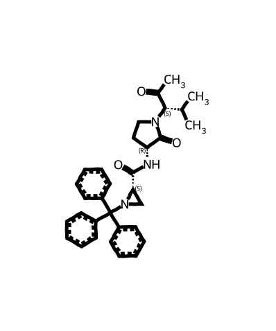 CC(=O)[C@H](C(C)C)N1CC[C@@H](NC(=O)[C@@H]2CN2C(c2ccccc2)(c2ccccc2)c2ccccc2)C1=O